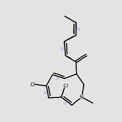 C=C(/C=C\C=C/C)C1/C=C/C(Cl)=C\C(Cl)=C\N(C)C1